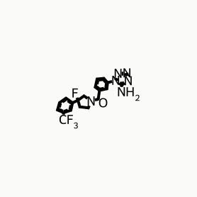 Nc1nnnn1-c1cccc(C(=O)N2CCC(F)(c3cccc(C(F)(F)F)c3)C2)c1